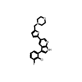 Fc1cccc(-c2c[nH]c3ncc(-c4ccc(CN5CCOCC5)s4)cc23)c1Cl